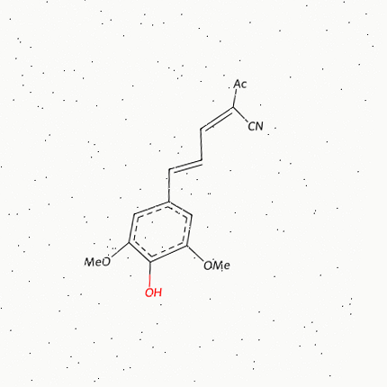 COc1cc(/C=C/C=C(\C#N)C(C)=O)cc(OC)c1O